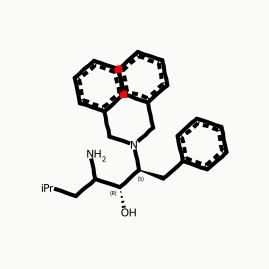 CC(C)CC(N)[C@@H](O)[C@H](Cc1ccccc1)N(Cc1ccccc1)Cc1ccccc1